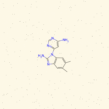 Cc1cc2nc(N)n(-c3cc(N)ncn3)c2cc1C